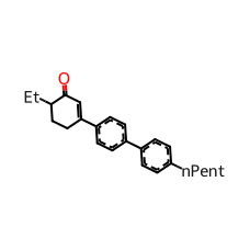 CCCCCc1ccc(-c2ccc(C3=CC(=O)C(CC)CC3)cc2)cc1